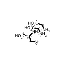 NCC(=O)O.NCC(=O)O.N[C@@H](CS)C(=O)O